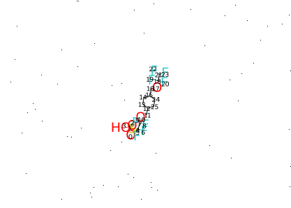 O=S(=O)(O)C(F)(F)C(F)(F)OCC1CCC(COC(F)(F)C(F)F)CC1